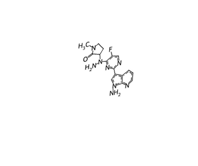 CN1CCC(N(N)c2nc(-c3cn(N)c4ncccc34)ncc2F)C1=O